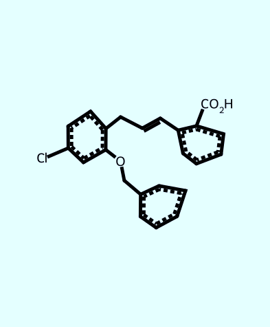 O=C(O)c1ccccc1C=CCc1ccc(Cl)cc1OCc1ccccc1